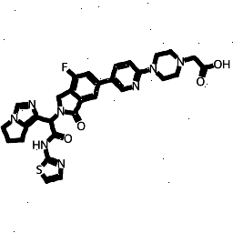 O=C(O)CN1CCN(c2ccc(-c3cc(F)c4c(c3)C(=O)N(C(C(=O)Nc3nccs3)c3ncn5c3CCC5)C4)cn2)CC1